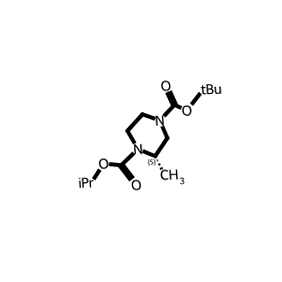 CC(C)OC(=O)N1CCN(C(=O)OC(C)(C)C)C[C@@H]1C